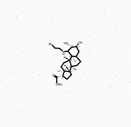 COC(=O)[C@H]1CC[C@H]2[C@@H]3CCC4C[C@H](O)[C@@H](O)C(NCCC(C)C)[C@]4(C)[C@H]3CC[C@]12C